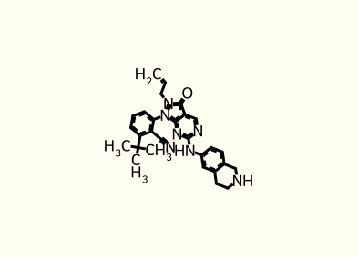 C=CCn1c(=O)c2cnc(Nc3ccc4c(c3)CCNC4)nc2n1-c1cccc(C(C)(C)C)c1C#N